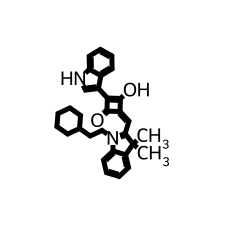 CC1(C)C(/C=C2\C(=O)C(c3c[nH]c4ccccc34)=C2O)=[N+](CCC2CCCCC2)c2ccccc21